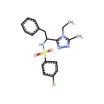 CCn1c(C)nnc1C(Cc1ccccc1)NS(=O)(=O)c1ccc(Cl)cc1